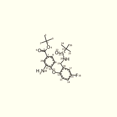 CC(C)(C)OC(=O)c1ccc(Oc2ccc(F)cc2CN[S+]([O-])C(C)(C)C)c(N)c1